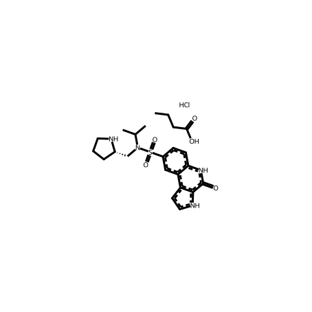 CC(C)N(C[C@@H]1CCCN1)S(=O)(=O)c1ccc2[nH]c(=O)c3[nH]ccc3c2c1.CCCC(=O)O.Cl